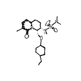 CCC1CCC(OC[C@H]2[C@@H](NS(=O)(=O)N(C)C)CCc3ccc(C)c(=O)n32)CC1